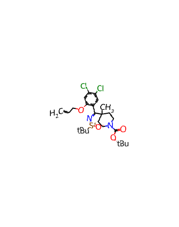 C=CCOc1cc(Cl)c(Cl)cc1/C(=N/[S+]([O-])C(C)(C)C)C1(C)CCN(C(=O)OC(C)(C)C)CC1